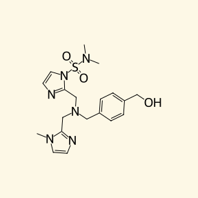 CN(C)S(=O)(=O)n1ccnc1CN(Cc1ccc(CO)cc1)Cc1nccn1C